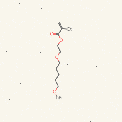 C=C(CC)C(=O)OCCOCCCCCOCCC